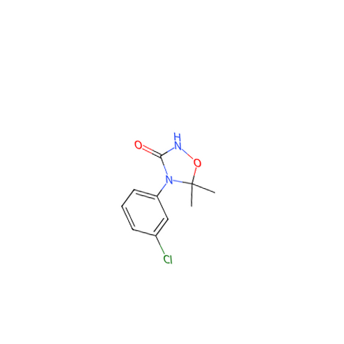 CC1(C)ONC(=O)N1c1cccc(Cl)c1